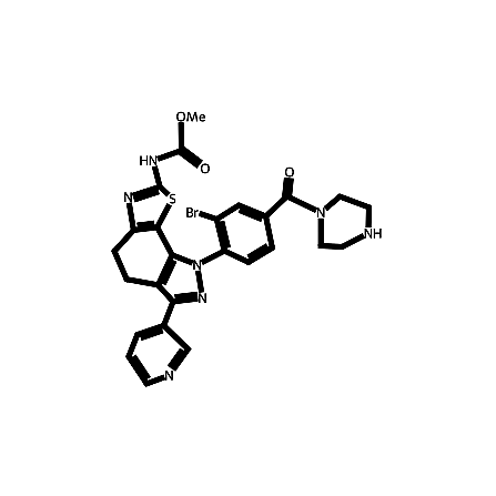 COC(=O)Nc1nc2c(s1)-c1c(c(-c3cccnc3)nn1-c1ccc(C(=O)N3CCNCC3)cc1Br)CC2